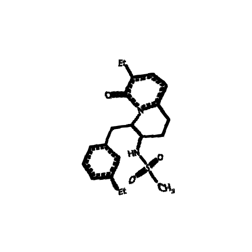 CCc1cccc(CC2C(NS(C)(=O)=O)CCc3ccc(CC)c(=O)n32)c1